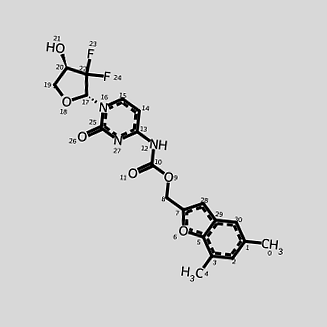 Cc1cc(C)c2oc(COC(=O)Nc3ccn([C@@H]4O[CH][C@@H](O)C4(F)F)c(=O)n3)cc2c1